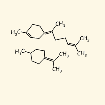 CC(C)=CCC/C(C)=C1\CC=C(C)CC1.C[C]1CCC(=C(C)C)CC1